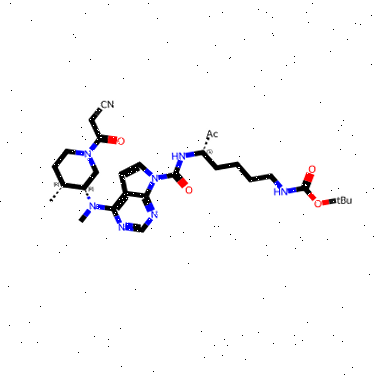 CC(=O)[C@H](CCCCNC(=O)OC(C)(C)C)NC(=O)n1ccc2c(N(C)[C@H]3CN(C(=O)CC#N)CC[C@H]3C)ncnc21